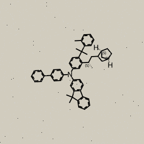 Cc1ccccc1C(C)(C)c1ccc(N(c2ccc(-c3ccccc3)cc2)c2ccc3c(c2)C(C)(C)c2ccccc2-3)cc1[C@@H](C)CC1C[C@@H]2CC[C@H]1C2